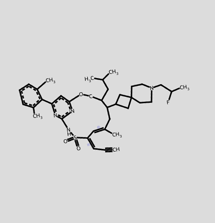 C#C/C=C1\C=C(/C)CC(C2CC3(CCN(CC(C)F)CC3)C2)C(CC(C)C)COc2cc(-c3c(C)cccc3C)nc(n2)NS1(=O)=O